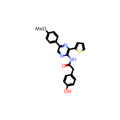 COc1ccc(-c2cnc(NC(=O)Cc3ccc(O)cc3)c(-c3cccs3)n2)cc1